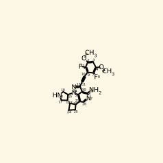 COc1cc(OC)c(F)c(C#Cc2nn(C3CCNC3)c3c(C4CCC4)cnc(N)c23)c1F